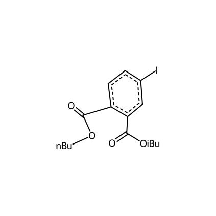 CCCCOC(=O)c1ccc(I)cc1C(=O)OCC(C)C